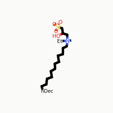 CCCCCCCCCCCCCCCCCCCCCC[N+](C)(CC)CC(O)CS(=O)(=O)[O-]